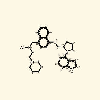 CC(=O)N(CCN1CCCCC1)Cc1ccc(OC[C@H]2CCCN2c2ncnc3[nH]cnc23)c2ccccc12